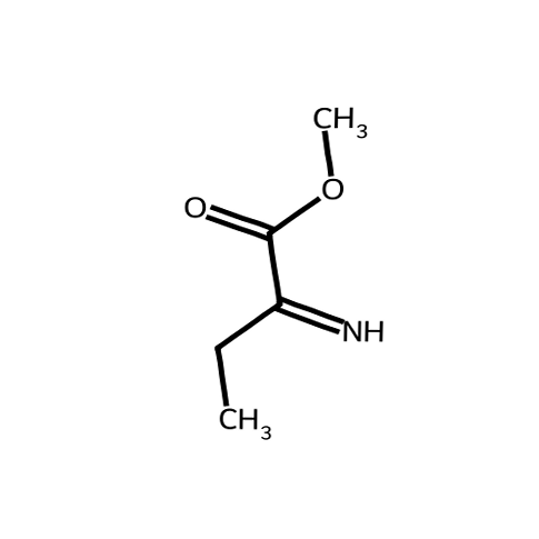 CCC(=N)C(=O)OC